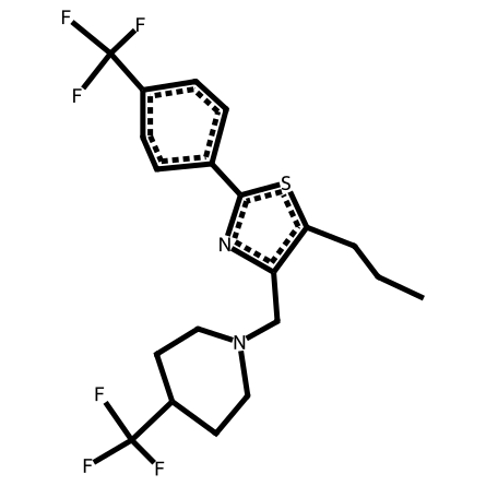 CCCc1sc(-c2ccc(C(F)(F)F)cc2)nc1CN1CCC(C(F)(F)F)CC1